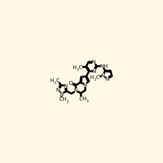 Cc1nc(CN2C(=O)c3cc(-c4nc(Nc5ccnn5C)ncc4C)cn3CC2C)n(C)n1